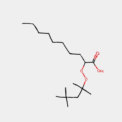 CCCCCCCCC(OOC(C)(C)CC(C)(C)C)C(=O)O